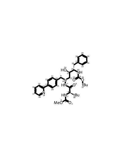 COC(=O)N[C@@H](C(=O)NN(Cc1ccc(-c2ccccn2)cc1)C[C@@H](O)[C@H](Cc1ccccc1)NC(=O)OC(C)(C)C)C(C)(C)C